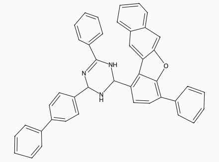 c1ccc(C2=NC(c3ccc(-c4ccccc4)cc3)NC(c3ccc(-c4ccccc4)c4oc5cc6ccccc6cc5c34)N2)cc1